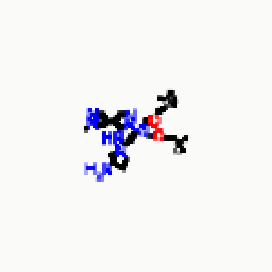 Cn1cc(-c2cnn3c2NC(N2CC[C@H](N)C2)C=C3N(COCC[Si](C)(C)C)COCC[Si](C)(C)C)cn1